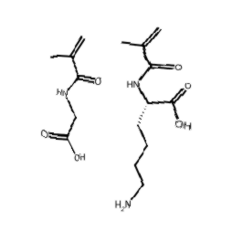 C=C(C)C(=O)NCC(=O)O.C=C(C)C(=O)N[C@@H](CCCCN)C(=O)O